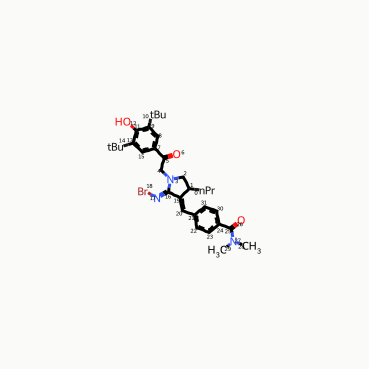 CCCC1CN(CC(=O)c2cc(C(C)(C)C)c(O)c(C(C)(C)C)c2)C(=N\Br)/C1=C/c1ccc(C(=O)N(C)C)cc1